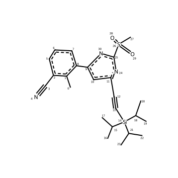 Cc1c(C#N)cccc1-c1cc(C#C[Si](C(C)C)(C(C)C)C(C)C)nc(S(C)(=O)=O)n1